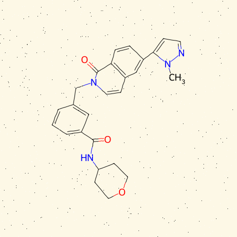 Cn1nccc1-c1ccc2c(=O)n(Cc3cccc(C(=O)NC4CCOCC4)c3)ccc2c1